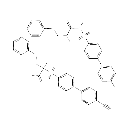 CC(COc1ccccc1)C(=O)N(O)S(=O)(=O)c1ccc(-c2ccc(F)cc2)cc1.CC(CSc1ccccc1)(C(=O)O)S(=O)(=O)c1ccc(-c2ccc(C#N)cc2)cc1